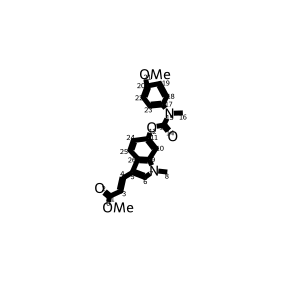 COC(=O)/C=C/c1cn(C)c2cc(OC(=O)N(C)c3ccc(OC)cc3)ccc12